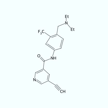 C#Cc1cncc(C(=O)Nc2ccc(CN(CC)CC)c(C(F)(F)F)c2)c1